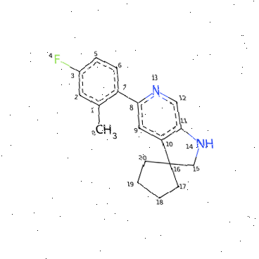 Cc1cc(F)ccc1-c1cc2c(cn1)NCC21CCCC1